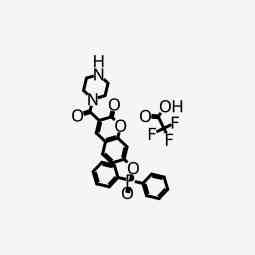 O=C(O)C(F)(F)F.O=C(c1cc2ccc(OP(=O)(c3ccccc3)c3ccccc3)cc2oc1=O)N1CCNCC1